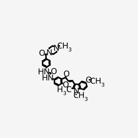 COc1ccc2c(c1)c(/C=C1\Oc3ccc(NC(=O)Nc4ccc(C(=O)N5CCN(C)CC5)cc4)cc3C1=O)c(C)n2C